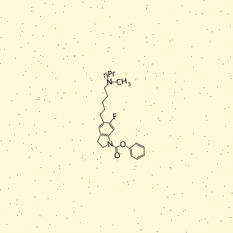 CCCN(C)CCCCCc1cc2c(cc1F)N(C(=O)Oc1ccccc1)CC2